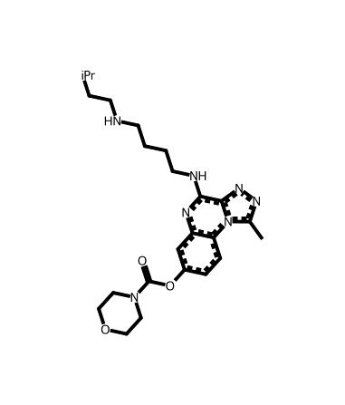 Cc1nnc2c(NCCCCNCCC(C)C)nc3cc(OC(=O)N4CCOCC4)ccc3n12